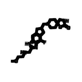 COCCNCc1nc2c(F)c3c(cc2[nH]1)CC(CN1CCC2(CC1)CNC(=O)O2)C3